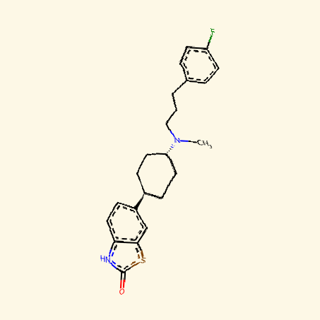 CN(CCCc1ccc(F)cc1)[C@H]1CC[C@H](c2ccc3[nH]c(=O)sc3c2)CC1